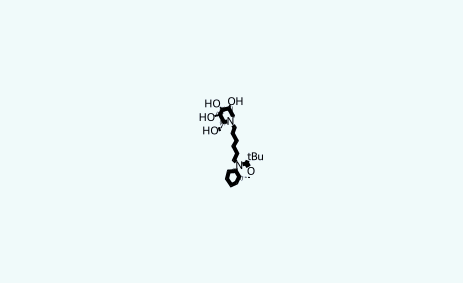 C[C@@H]1CCCC[C@@H]1N(CCCCCCN1C[C@H](O)[C@@H](O)[C@H](O)[C@H]1CO)C(=O)C(C)(C)C